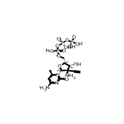 C#CC1(N)[C@@H](O)[C@@H](COP(=O)(O)OP(=O)(O)OP(=O)(O)O)O[C@H]1n1c(C)cc(N)nc1=O